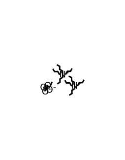 CCCC[N+](CCCC)(CCCC)CCCC.CCCC[N+](CCCC)(CCCC)CCCC.CCOP(=O)([O-])[O-]